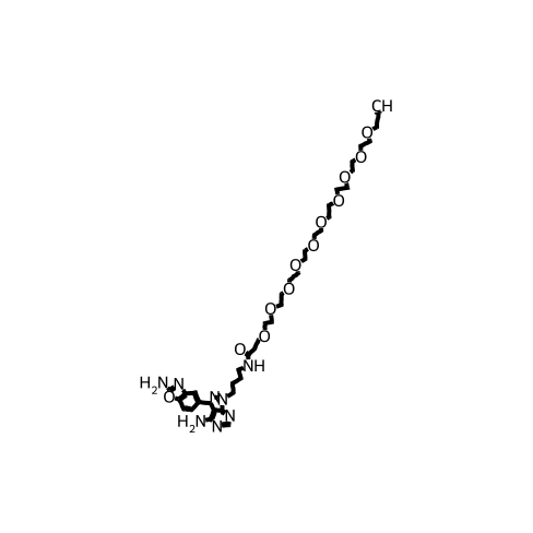 C#CCOCCOCCOCCOCCOCCOCCOCCOCCOCCOCCC(=O)NCCCCn1nc(-c2ccc3oc(N)nc3c2)c2c(N)ncnc21